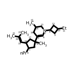 CCCC1CC(C)(C2=CN(C3CC(CC)C3)CC(C)C2)CC1C=C(C)C